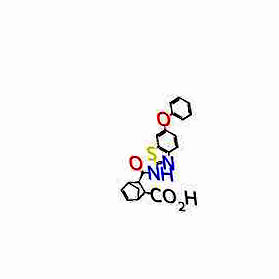 O=C(Nc1nc2ccc(Oc3ccccc3)cc2s1)[C@@H]1C2C=CC(C2)[C@@H]1C(=O)O